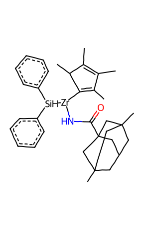 CC1=C(C)C(C)[C]([Zr]([NH]C(=O)C23CC4CC(C)(CC(C)(C4)C2)C3)[SiH](c2ccccc2)c2ccccc2)=C1C